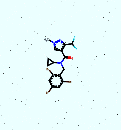 Cn1cc(C(=O)N(Cc2c(Br)cc(Br)cc2Br)C2CC2)c(C(F)F)n1